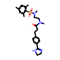 Cc1cc(C)c(S(=O)(=O)N(C)CCN(C)C(=O)CCc2ccc(C3=NCCN3)cc2)c(C)c1